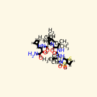 CC(C)(C)[C@H](NC(=O)N[C@H](CN1Cc2sccc2S1(=O)=O)C(C)(C)C)C(=O)N1C[C@H]2[C@@H]([C@H]1C(=O)NC(CC1CCC1)C(=O)C(N)=O)C2(C)C